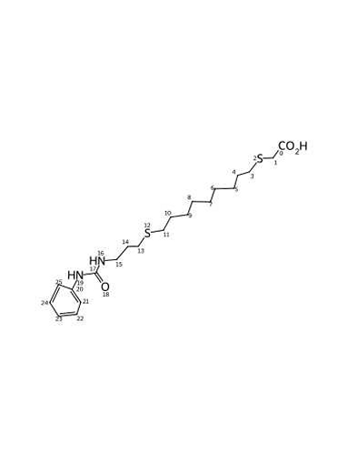 O=C(O)CSCCCCCCCCCSCCCNC(=O)Nc1ccccc1